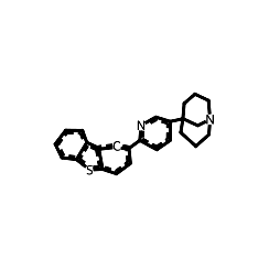 c1ccc2c(c1)sc1ccc(-c3ccc(C45CCCN(CCC4)C5)cn3)cc12